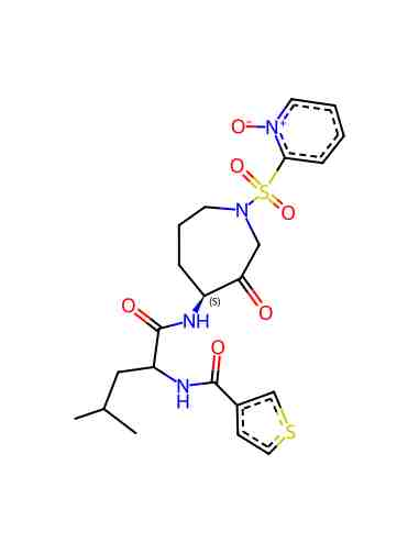 CC(C)CC(NC(=O)c1ccsc1)C(=O)N[C@H]1CCCN(S(=O)(=O)c2cccc[n+]2[O-])CC1=O